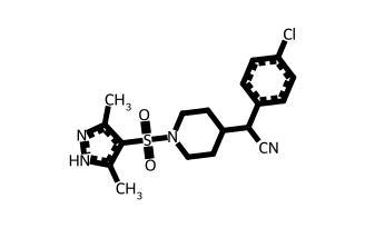 Cc1n[nH]c(C)c1S(=O)(=O)N1CCC(C(C#N)c2ccc(Cl)cc2)CC1